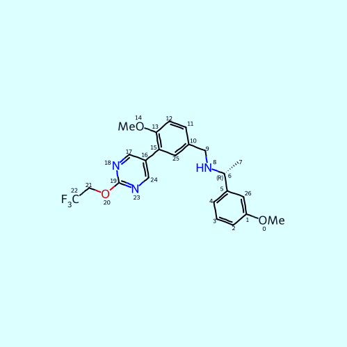 COc1cccc([C@@H](C)NCc2ccc(OC)c(-c3cnc(OCC(F)(F)F)nc3)c2)c1